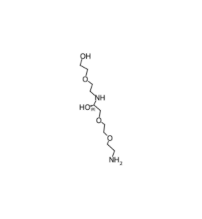 NCCOCCOC[C@@H](O)NCCOCCO